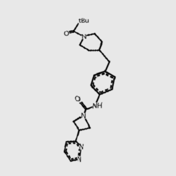 CC(C)(C)C(=O)N1CCC(Cc2ccc(NC(=O)N3CC(c4cccnn4)C3)cc2)CC1